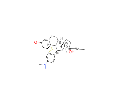 CC#C[C@]1(O)CC[C@H]2[C@@H]3CCC4=CC(=O)CC[C@@]45Sc4cc(N(C)C)ccc4[C@@H](C[C@@]21C)C35